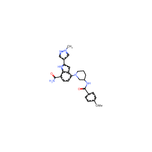 COc1ccc(C(=O)NC2CCCN(c3ccc(C(N)=O)c4[nH]c(-c5cnn(C)c5)cc34)C2)cc1